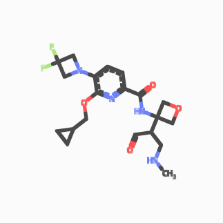 CNCC(C=O)C1(NC(=O)c2ccc(N3CC(F)(F)C3)c(OCC3CC3)n2)COC1